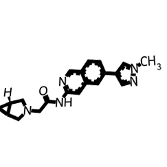 Cn1cc(-c2ccc3cnc(NC(=O)CN4CC5C[C@@H]5C4)cc3c2)cn1